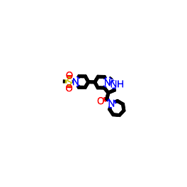 C[N+]12CCC(C3CCN(S(C)(=O)=O)CC3)CC1C(C(=O)N1CCCCCC1)CN2